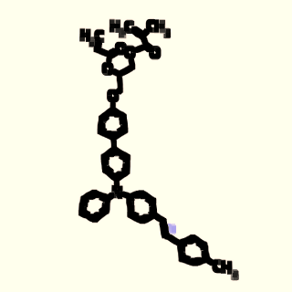 C=CC(=O)OC(COC(=O)C(=C)C)COc1ccc(-c2ccc(N(c3ccccc3)c3ccc(/C=C/c4ccc(C)cc4)cc3)cc2)cc1